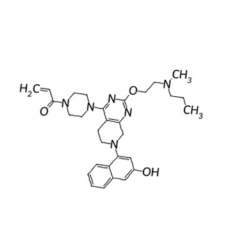 C=CC(=O)N1CCN(c2nc(OCCN(C)CCC)nc3c2CCN(c2cc(O)cc4ccccc24)C3)CC1